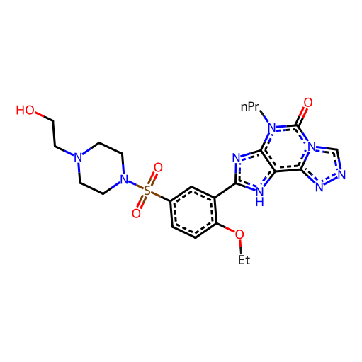 CCCn1c(=O)n2cnnc2c2[nH]c(-c3cc(S(=O)(=O)N4CCN(CCO)CC4)ccc3OCC)nc21